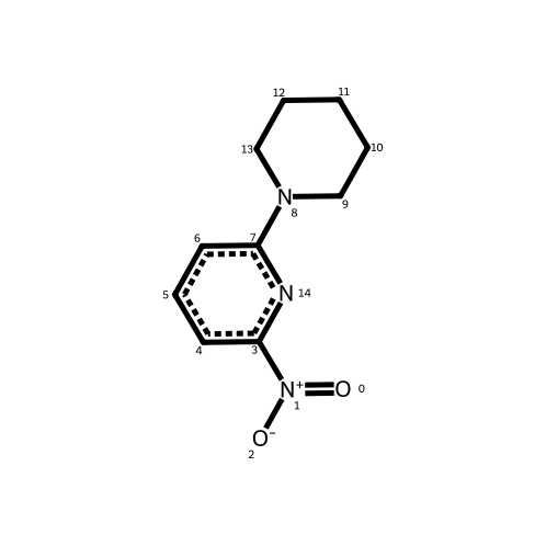 O=[N+]([O-])c1cccc(N2CCCCC2)n1